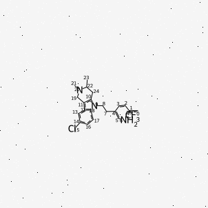 C=C(/C=C\C(=C/N)CCn1c2c(c3cc(Cl)ccc31)CN(C)C(C)C2)C(F)(F)F